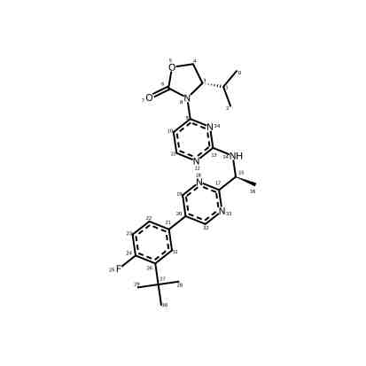 CC(C)[C@H]1COC(=O)N1c1ccnc(N[C@@H](C)c2ncc(-c3ccc(F)c(C(C)(C)C)c3)cn2)n1